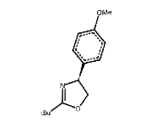 COc1ccc([C@H]2COC(C(C)(C)C)=N2)cc1